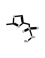 Cc1nc(CS(=O)(=O)NC(C)(C)C)cs1